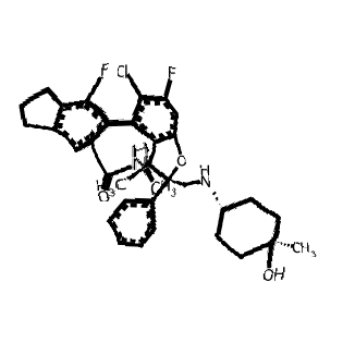 CNC(=O)c1cc2c(c(F)c1-c1c(Cl)c(F)cc3c1[C@H](C)[C@@](CN[C@H]1CC[C@](C)(O)CC1)(c1ccccc1)O3)CCC2